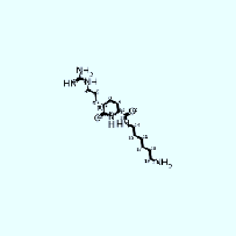 N=C(N)NCCC[C@@H]1CC[C@H](C(=O)NCCCCCCN)NC1=O